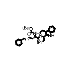 CC(C)CC1c2[nH]c3ccccc3c2CCN1C(=O)[C@@H](CCOCc1ccccc1)NC(=O)OC(C)(C)C